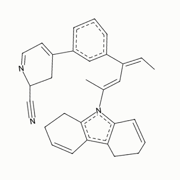 C/C=C(\C=C(/C)n1c2c(c3c1CCC=C3)CCC=C2)c1cccc(C2=CC=NC(C#N)C2)c1